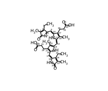 CCC1=C(C)C(=O)N=C1/C=c1\[nH]/c(=C\c2[nH]c(/C=C3/NC(=O)C(C)=C3CC)c(CCC(=O)O)c2C)c(C)c1CCC(=O)O